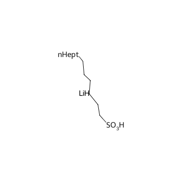 CCCCCCCCCCCCCS(=O)(=O)O.[LiH]